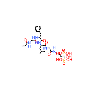 CCC(=O)NCC(=O)NC(Cc1ccccc1)C(=O)NC(CC(C)C)C(=O)NCC(=O)NCCCC(O)(P(=O)(O)O)P(=O)(O)O